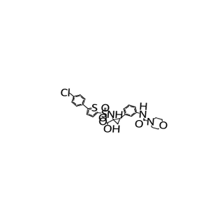 O=C(Nc1cccc(C2CC2(NS(=O)(=O)c2ccc(-c3ccc(Cl)cc3)s2)C(=O)O)c1)N1CCOCC1